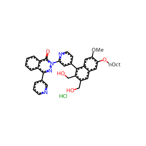 CCCCCCCCOc1cc2cc(CO)c(CO)c(-c3ccnc(-n4nc(-c5cccnc5)c5ccccc5c4=O)c3)c2cc1OC.Cl